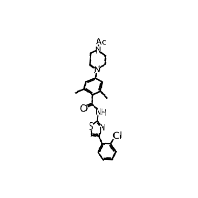 CC(=O)N1CCN(c2cc(C)c(C(=O)Nc3nc(-c4ccccc4Cl)cs3)c(C)c2)CC1